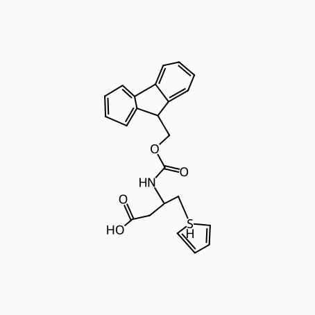 O=C(O)CC(C[SH]1C=CC=C1)NC(=O)OCC1c2ccccc2-c2ccccc21